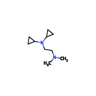 CN(C)CCN(C1CC1)C1CC1